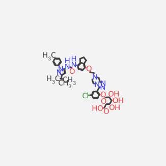 Cc1ccc(-n2nc(C(C)(C)C)cc2NC(=O)Nc2ccc(OCCN3CCn4c(nnc4-c4cc(Cl)ccc4OC4OC(C(=O)O)C(O)C(O)C4O)C3)c3c2CCC3)cc1